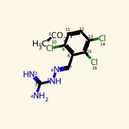 CC(=O)O.N=C(N)N/N=C/c1c(Cl)ccc(Cl)c1Cl